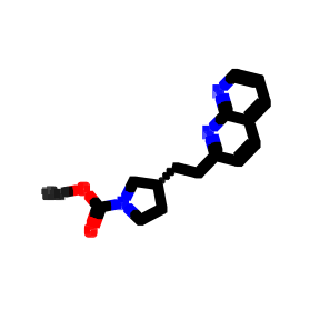 CC(C)(C)OC(=O)N1CC[C@@H](CCc2ccc3cccnc3n2)C1